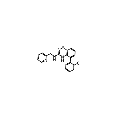 Clc1ccccc1-c1cccc2c1NC(NCc1ccccn1)=NS2